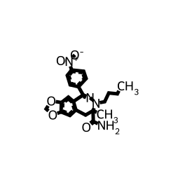 CCCCN1N=C(c2ccc([N+](=O)[O-])cc2)c2cc3c(cc2CC1(C)C(N)=O)OCO3